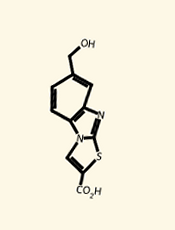 O=C(O)c1cn2c(nc3cc(CO)ccc32)s1